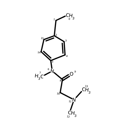 CCc1ccc(N(C)C(=O)CN(C)C)cc1